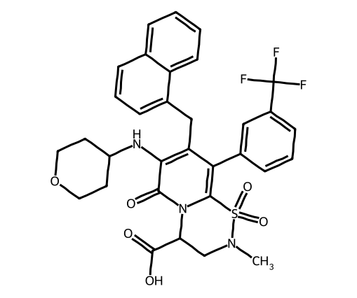 CN1CC(C(=O)O)n2c(c(-c3cccc(C(F)(F)F)c3)c(Cc3cccc4ccccc34)c(NC3CCOCC3)c2=O)S1(=O)=O